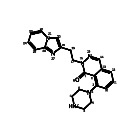 O=c1c2c(N3CCNCC3)cccc2cnn1CCc1cn2ccccc2n1